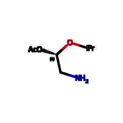 CC(=O)O[C@@H](CN)OC(C)C